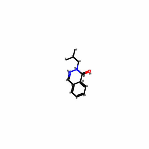 CC(C)Cn1ncc2ccccc2c1=O